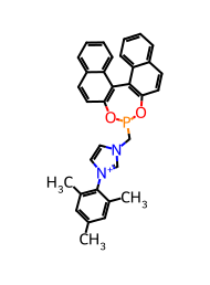 Cc1cc(C)c(-[n+]2ccn(Cp3oc4ccc5ccccc5c4c4c(ccc5ccccc54)o3)c2)c(C)c1